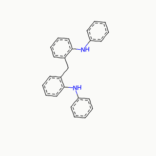 c1ccc(Nc2ccccc2Cc2ccccc2Nc2ccccc2)cc1